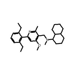 CCc1cccc(CC)c1-c1cc(OC)c(CN(C)C2CCCC3CCCCC32)c(C)n1